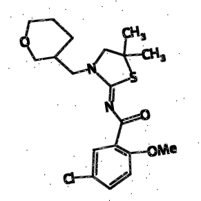 COc1ccc(Cl)cc1C(=O)/N=C1\SC(C)(C)CN1CC1CCCOC1